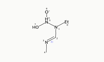 CCN(/C=N/C)[NH+]([O-])O